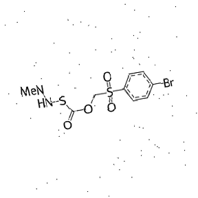 CNNSC(=O)OCS(=O)(=O)c1ccc(Br)cc1